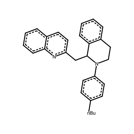 CCCCc1ccc(N2CCc3ccccc3C2Cc2ccc3ccccc3n2)cc1